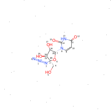 [N-]=[N+]=N[C@]1(CO)O[C@@H](n2ccc(=O)[nH]c2=O)C(O)[C@@H]1O